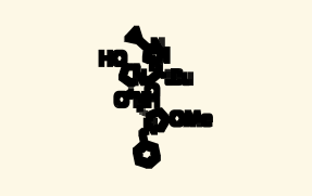 CO[C@@H]1C[C@@H](CNC(=O)[C@@H]2C[C@@H](O)CN2C(=O)[C@@H](n2cc(C3CC3)nn2)C(C)(C)C)N(Cc2ccccc2)C1